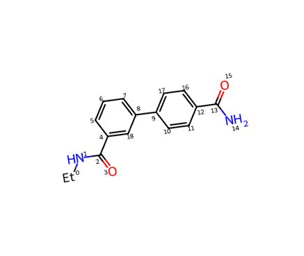 CCNC(=O)c1cccc(-c2ccc(C(N)=O)cc2)c1